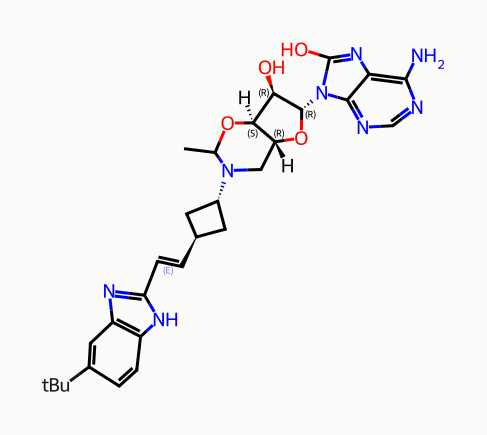 CC1O[C@H]2[C@@H](O)[C@H](n3c(O)nc4c(N)ncnc43)O[C@@H]2CN1[C@H]1C[C@H](/C=C/c2nc3cc(C(C)(C)C)ccc3[nH]2)C1